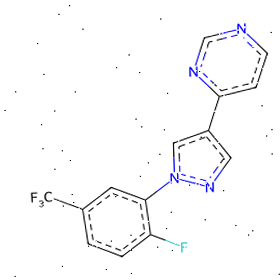 Fc1ccc(C(F)(F)F)cc1-n1cc(-c2ccncn2)cn1